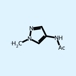 [CH2]n1cc(NC(C)=O)cn1